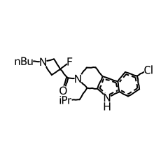 CCCCN1CC(F)(C(=O)N2CCc3c([nH]c4ccc(Cl)cc34)C2CC(C)C)C1